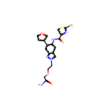 NC(=O)COCCn1cc2cc(NC(=O)c3csc(C(F)(F)F)n3)c(-c3ccoc3)cc2n1